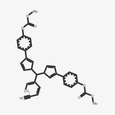 C#C/C=C\C(=C/C)C(C1C=CC(c2ccc(OC(=O)OC(C)(C)C)cc2)=C1)C1C=CC(c2ccc(OC(=O)OC(C)(C)C)cc2)=C1